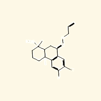 C=CCON=C1CC2[C@](C)(C(=O)O)CCC[C@]2(C)c2cc(F)c(C(C)C)cc21